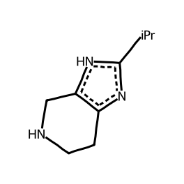 CC(C)c1nc2c([nH]1)CNCC2